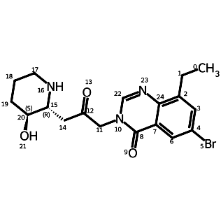 CCc1cc(Br)cc2c(=O)n(CC(=O)C[C@H]3NCCC[C@@H]3O)cnc12